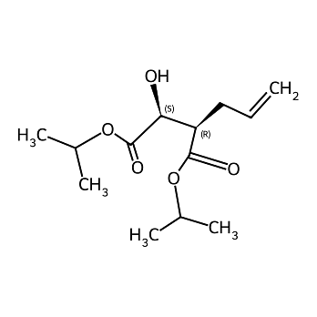 C=CC[C@@H](C(=O)OC(C)C)[C@H](O)C(=O)OC(C)C